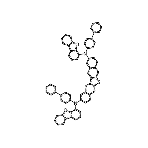 c1ccc(-c2ccc(N(c3ccc4cc5sc6cc7ccc(N(c8ccc(-c9ccccc9)cc8)c8cccc9c8oc8ccccc89)cc7cc6c5cc4c3)c3cccc4c3oc3ccccc34)cc2)cc1